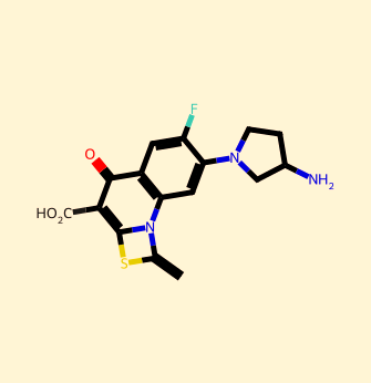 C=c1sc2c(C(=O)O)c(=O)c3cc(F)c(N4CCC(N)C4)cc3n12